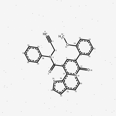 C#CCN(C(=O)c1cc(-c2ccccc2OC)c(=O)n2ccc3ccsc3c12)c1ccccc1